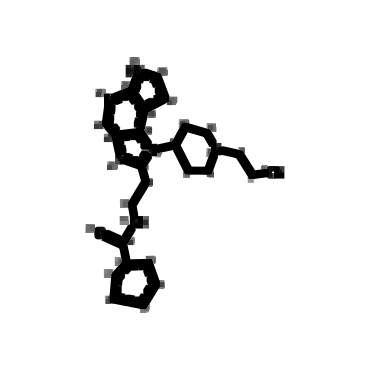 N#CCCN1CCC(n2c(CCNC(=O)c3ccccc3)nc3cnc4[nH]ccc4c32)CC1